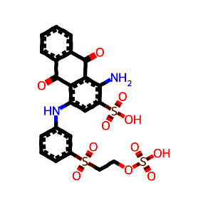 Nc1c(S(=O)(=O)O)cc(Nc2cccc(S(=O)(=O)CCOS(=O)(=O)O)c2)c2c1C(=O)c1ccccc1C2=O